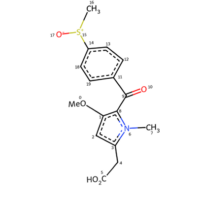 COc1cc(CC(=O)O)n(C)c1C(=O)c1ccc([S+](C)[O-])cc1